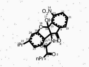 CCCC(=O)C(=O)NC12C(=O)c3cccc([N+](=O)[O-])c3C1(O)Oc1cc(C(C)C)ccc12